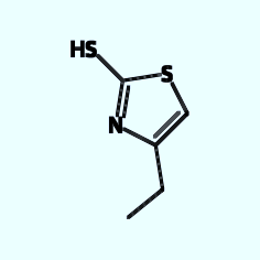 CCc1csc(S)n1